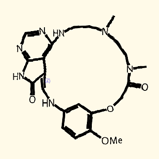 COc1ccc2cc1OCC(=O)N(C)CCN(C)CCNc1ncnc3c1/C(=C/N2)C(=O)N3